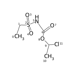 CCS(=O)(=O)NC(=O)OC(C)Cl